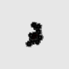 c1ccc(-c2nc(-c3ccccc3)nc(-c3cccc4c5cccc(-n6c7ccccc7c7cc(-c8cccc9c8oc8ccccc89)ccc76)c5n(-c5ccccc5)c34)n2)cc1